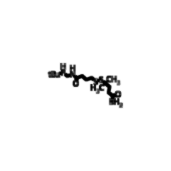 BC(=O)CCC(C)(C)SSCCCC(=O)NCPC(C)(C)C